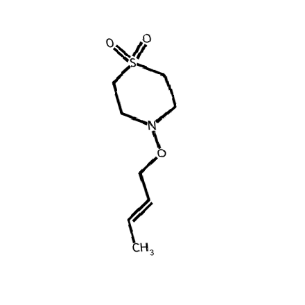 C/C=C/CON1CCS(=O)(=O)CC1